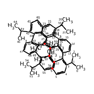 CC(C)c1cccc(C(C)C)c1-c1cccc(-c2c(C(C)C)cccc2C(C)C)c1SSc1c(-c2c(C(C)C)cccc2C(C)C)cccc1-c1c(C(C)C)cccc1C(C)C